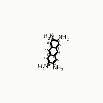 Nc1cc2cc3cc(N)c(N)cc3cc2cc1N